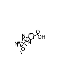 CCOC(=O)C(C)(c1nc2cc(C(=O)O)ccc2o1)C(C#N)C#N